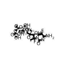 Nc1nc(=O)n([C@]2(F)CO[C@](CBr)(COP(=O)(O)OP(=O)(O)OP(=O)(O)O)[C@H]2O)cc1F